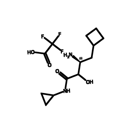 N[C@@H](CC1CCC1)C(O)C(=O)NC1CC1.O=C(O)C(F)(F)F